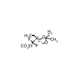 C=C[C@@H]([C@H]1COC(C)(C)O1)C(F)(F)C(=O)OCC